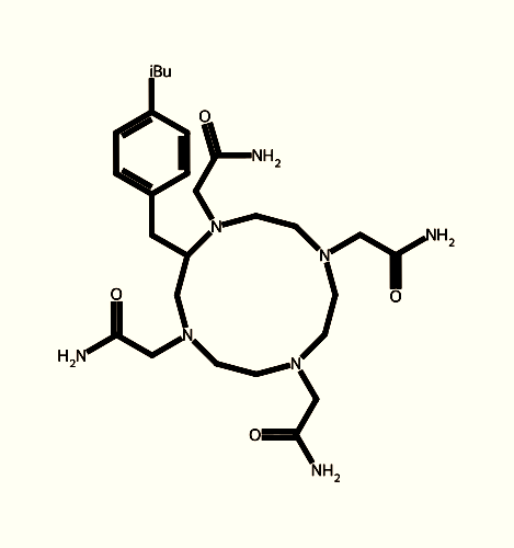 CCC(C)c1ccc(CC2CN(CC(N)=O)CCN(CC(N)=O)CCN(CC(N)=O)CCN2CC(N)=O)cc1